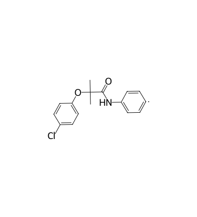 CC(C)(Oc1ccc(Cl)cc1)C(=O)Nc1cc[c]cc1